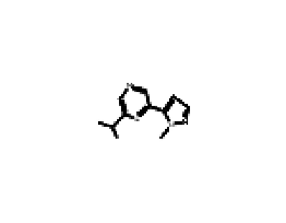 CC(C)c1cncc(-c2ccnn2C)n1